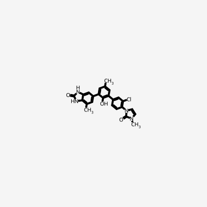 Cc1cc(-c2ccc(-n3ccn(C)c3=O)c(Cl)c2)c(O)c(-c2cc(C)c3[nH]c(=O)[nH]c3c2)c1